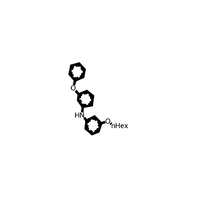 CCCCCCOc1cccc(Nc2cccc(Oc3ccccc3)c2)c1